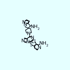 Nc1nccc(Sc2cnc(N3CCC4(CC3)Cn3nccc3[C@H]4N)c3cncn23)c1Cl